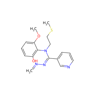 C=N/N=C(/c1cccnc1)N(CCSC)c1c(O)cccc1OC